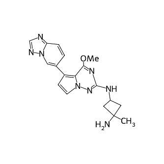 COc1nc(NC2CC(C)(N)C2)nn2ccc(-c3ccc4ncnn4c3)c12